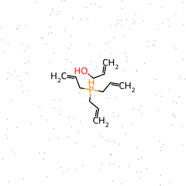 C=CC[PH](CC=C)(CC=C)C(O)C=C